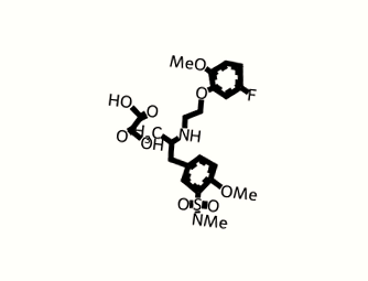 CNS(=O)(=O)c1cc(CC(C)NCCOc2cc(F)ccc2OC)ccc1OC.O=C(O)C(=O)O